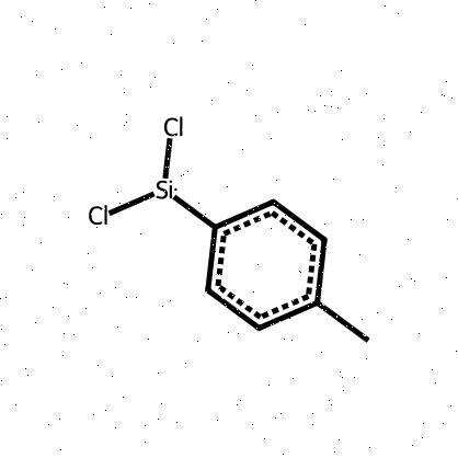 Cc1ccc([Si](Cl)Cl)cc1